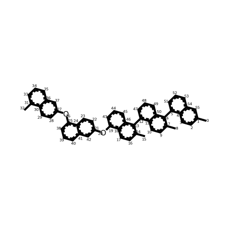 Cc1ccc2c(-c3c(C)ccc4c(-c5c(C)ccc6c(Oc7ccc8c(Oc9ccc%10c(C)cccc%10c9)cccc8c7)cccc56)cccc34)cccc2c1